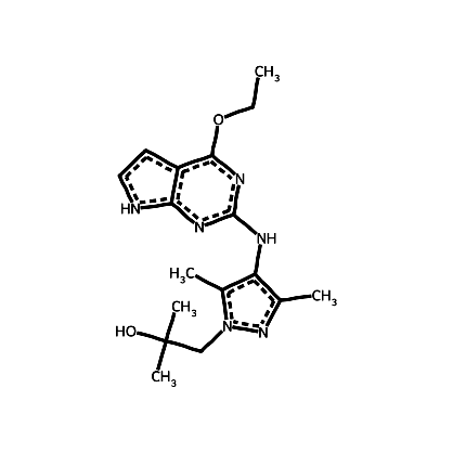 CCOc1nc(Nc2c(C)nn(CC(C)(C)O)c2C)nc2[nH]ccc12